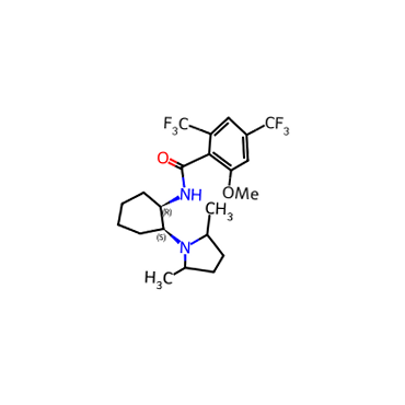 COc1cc(C(F)(F)F)cc(C(F)(F)F)c1C(=O)N[C@@H]1CCCC[C@@H]1N1C(C)CCC1C